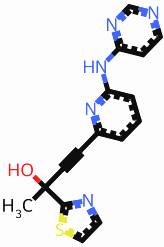 CC(O)(C#Cc1cccc(Nc2ccncn2)n1)c1nccs1